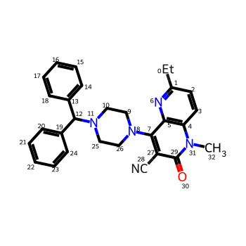 CCc1ccc2c(n1)c(N1CCN(C(c3ccccc3)c3ccccc3)CC1)c(C#N)c(=O)n2C